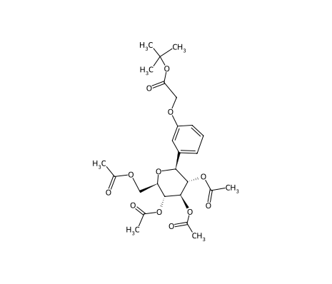 CC(=O)OC[C@H]1O[C@@H](c2cccc(OCC(=O)OC(C)(C)C)c2)[C@H](OC(C)=O)[C@@H](OC(C)=O)[C@@H]1OC(C)=O